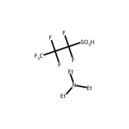 CCN(CC)CC.O=S(=O)(O)C(F)(F)C(F)(F)C(F)(F)F